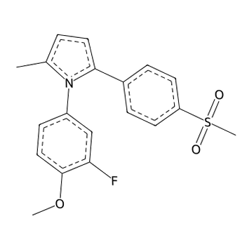 COc1ccc(-n2c(C)ccc2-c2ccc(S(C)(=O)=O)cc2)cc1F